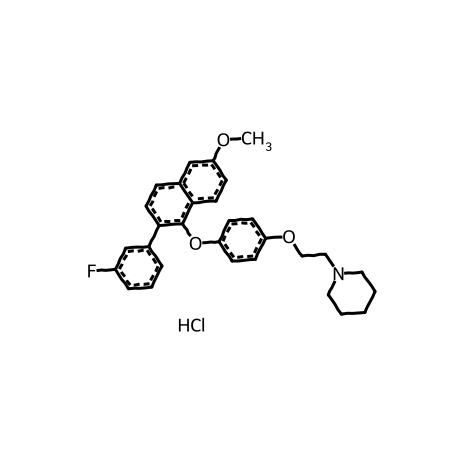 COc1ccc2c(Oc3ccc(OCCN4CCCCC4)cc3)c(-c3cccc(F)c3)ccc2c1.Cl